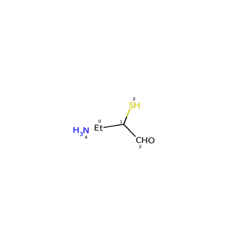 CCC(S)C=O.N